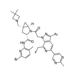 CC(=O)c1nn(CC(=O)N2[C@H](C(=O)Nc3nc(Br)ccc3C)C[C@@]3(CN4CC(C)(C)C4)C[C@@H]23)c2c(CF)nc(-c3cnc(C)nc3)cc12